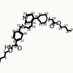 CCCCONC(=O)c1ccc(Cn2ccc3c(C4CCN(CC(=O)OCCCC)CC4)ccnc32)cc1